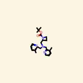 Cc1cccnc1CN(Cc1ncccc1C)CC1CCN1C(=O)OC(C)(C)C